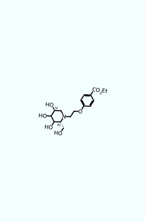 CCOC(=O)c1ccc(OCCN2C[C@H](O)C(O)C(O)[C@H]2CO)cc1